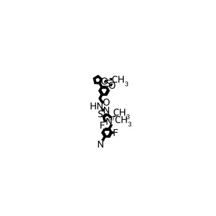 CCS(=O)(=O)c1ccc(CC(=O)Nc2nc3c(s2)CN(Cc2c(F)cc(C#N)cc2F)[C@H]3C(C)C)cc1C1CCCC1